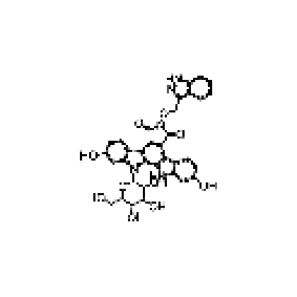 O=C1c2c(c3c4ccc(O)cc4n(C4OC(CO)C(O)C(O)C4O)c3c3[nH]c4cc(O)ccc4c23)C(=O)N1OCc1n[nH]c2ccccc12